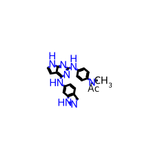 CC(=O)N(C)c1ccc(Nc2nc(Nc3ccc4cn[nH]c4c3)c3cc[nH]c3n2)cc1